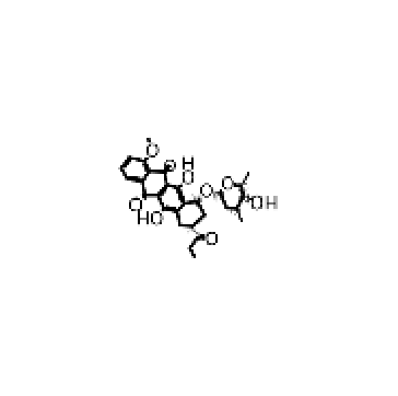 CCC(=O)[C@@H]1Cc2c(O)c3c(c(O)c2[C@@H](O[C@H]2C[C@H](C)[C@@H](O)[C@H](C)O2)C1)C(=O)c1c(OC)cccc1C3=O